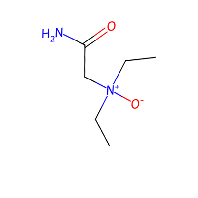 CC[N+]([O-])(CC)CC(N)=O